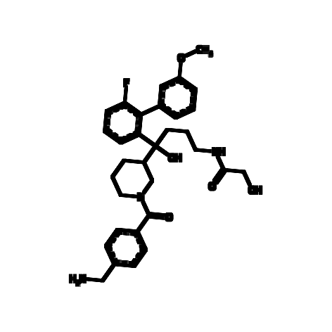 COc1cccc(-c2c(F)cccc2C(O)(CCCNC(=O)CO)C2CCCN(C(=O)c3ccc(CN)cc3)C2)c1